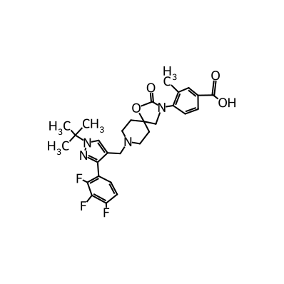 Cc1cc(C(=O)O)ccc1N1CC2(CCN(Cc3cn(C(C)(C)C)nc3-c3ccc(F)c(F)c3F)CC2)OC1=O